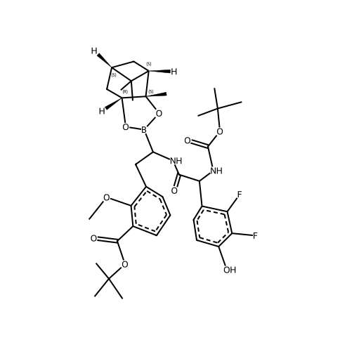 COc1c(CC(NC(=O)C(NC(=O)OC(C)(C)C)c2ccc(O)c(F)c2F)B2O[C@@H]3C[C@@H]4C[C@@H](C4(C)C)[C@]3(C)O2)cccc1C(=O)OC(C)(C)C